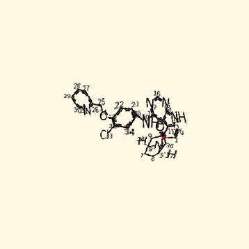 C=CC(=O)N1[C@@H]2CC[C@H]1CC(c1c[nH]c3ncnc(Nc4ccc(OCc5ccccn5)c(Cl)c4)c13)C2